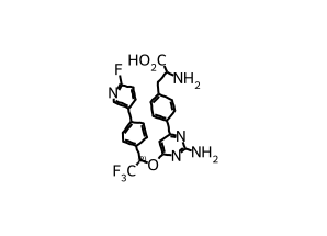 Nc1nc(O[C@H](c2ccc(-c3ccc(F)nc3)cc2)C(F)(F)F)cc(-c2ccc(CC(N)C(=O)O)cc2)n1